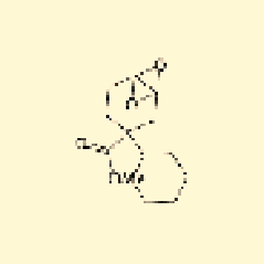 COC(=O)C1(C2CCCCC2)CCC23OC2(C1)O3